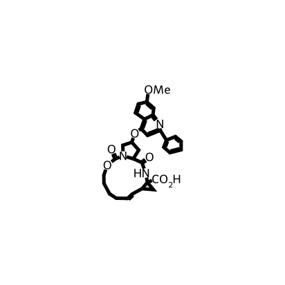 COc1ccc2c(OC3CC4C(=O)NC5(C(=O)O)CC5/C=C/CCCCOC(=O)N4C3)cc(-c3ccccc3)nc2c1